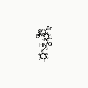 O=C(NCCc1ccccc1)c1ccc(CBr)c([N+](=O)[O-])c1